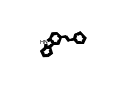 C(=Cc1ccc2[nH]c3ccccc3c2c1)c1ccccc1